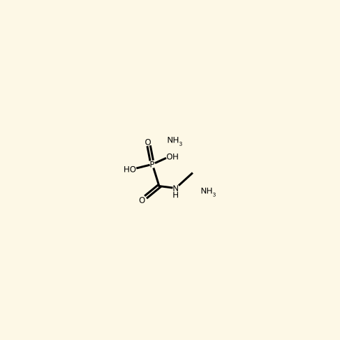 CNC(=O)P(=O)(O)O.N.N